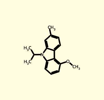 COc1cccc2c1c1ccc(C)cc1n2C(C)C